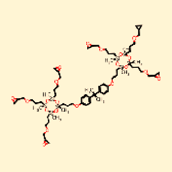 CC(C)(c1ccc(OCCC[Si]2(C)O[Si](C)(CCCOCC3CO3)O[Si](C)(CCCOCC3CC3)O[Si](C)(CCCOCC3CO3)O2)cc1)c1ccc(OCCC[Si]2(C)O[Si](C)(CCCOCC3CO3)O[Si](C)(CCCOCC3CO3)O[Si](C)(CCCOCC3CO3)O2)cc1